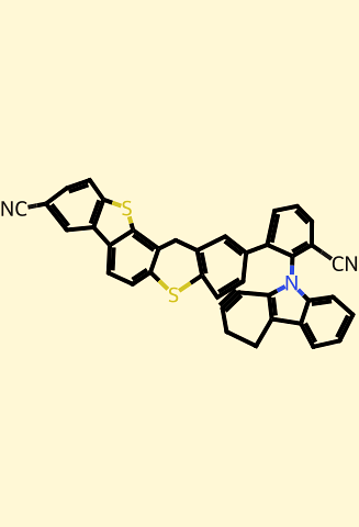 N#Cc1ccc2sc3c4c(ccc3c2c1)Sc1ccc(-c2cccc(C#N)c2-n2c3c(c5ccccc52)CCC#C3)cc1C4